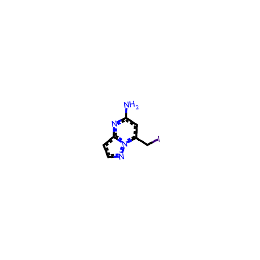 Nc1cc(CI)n2nccc2n1